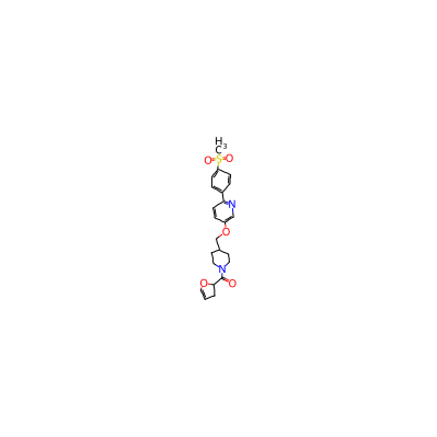 CS(=O)(=O)c1ccc(-c2ccc(OCC3CCN(C(=O)C4CC=CO4)CC3)cn2)cc1